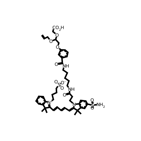 C=CCOC(COc1cccc(C(=O)NCCCCCNC(=O)CCN2\C(=C/C=C/C=C/C3=[N+](CCCCS(=O)(=O)[O-])c4ccccc4C3(C)C)C(C)(C)c3cc(S(N)(=O)=O)ccc32)c1)OCC(=O)O